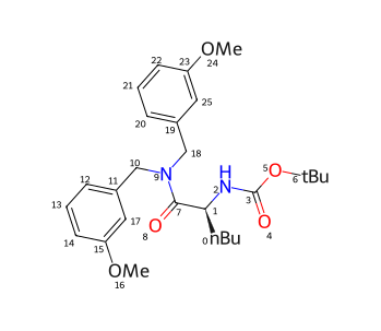 [CH2]CCC[C@H](NC(=O)OC(C)(C)C)C(=O)N(Cc1cccc(OC)c1)Cc1cccc(OC)c1